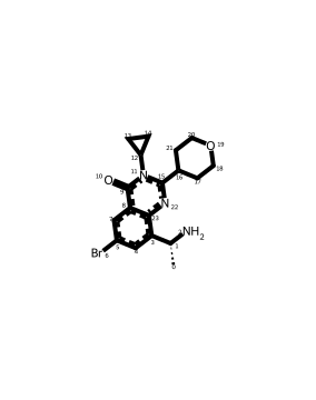 C[C@@H](N)c1cc(Br)cc2c(=O)n(C3CC3)c(C3CCOCC3)nc12